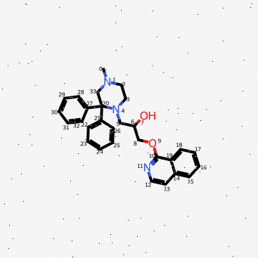 CN1CCN(CC(O)COc2nccc3ccccc23)C(c2ccccc2)(c2ccccc2)C1